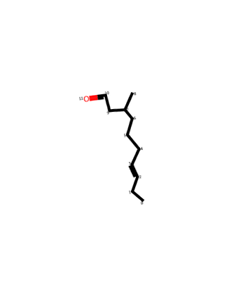 CCC=CCCCC(C)CC=O